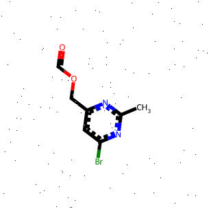 Cc1nc(Br)cc(COC=O)n1